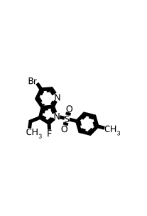 CCc1c(F)n(S(=O)(=O)c2ccc(C)cc2)c2ncc(Br)cc12